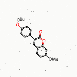 CCCCOc1ccc(-c2cc3ccc(OC)cc3oc2=O)cc1